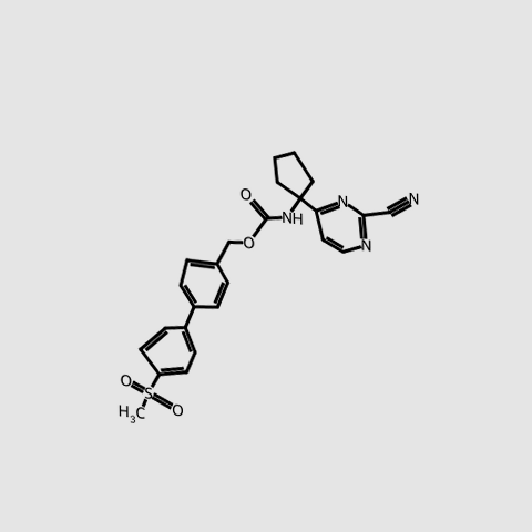 CS(=O)(=O)c1ccc(-c2ccc(COC(=O)NC3(c4ccnc(C#N)n4)CCCC3)cc2)cc1